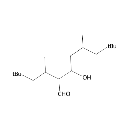 CC(CC(O)C(C=O)C(C)CC(C)(C)C)CC(C)(C)C